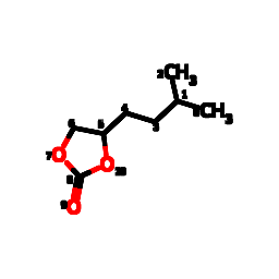 CC(C)CCC1COC(=O)O1